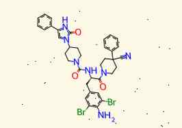 N#CC1(c2ccccc2)CCN(C(=O)[C@@H](Cc2cc(Br)c(N)c(Br)c2)NC(=O)N2CCC(n3cc(-c4ccccc4)[nH]c3=O)CC2)CC1